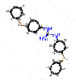 N=C(Nc1ccc(Sc2ccccc2)cc1)Nc1ccc(Sc2ccccc2)cc1